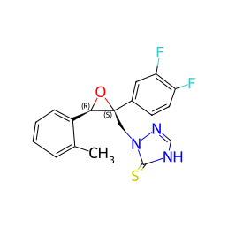 Cc1ccccc1[C@H]1O[C@]1(Cn1nc[nH]c1=S)c1ccc(F)c(F)c1